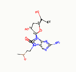 CCC(O)[C@@H]1C[C@@H](O)[C@H](n2c(=O)n(CC[S+](C)[O-])c3cnc(N)nc32)O1